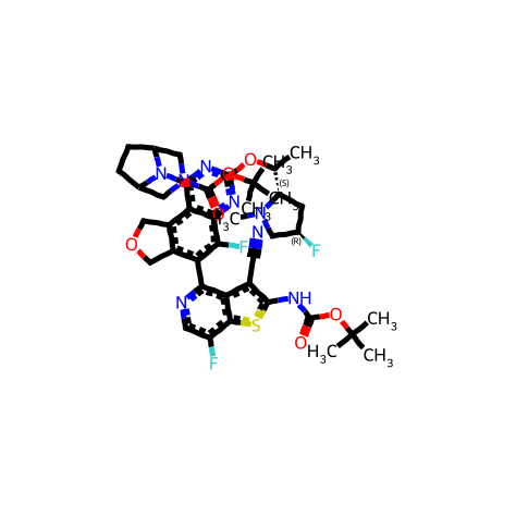 CC(Oc1nc(N2C3CCC2CN(C(=O)OC(C)(C)C)C3)c2c3c(c(-c4ncc(F)c5sc(NC(=O)OC(C)(C)C)c(C#N)c45)c(F)c2n1)COC3)[C@@H]1C[C@@H](F)CN1C